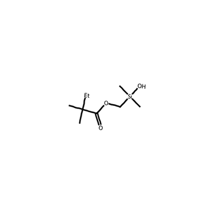 CCC(C)(C)C(=O)OC[Si](C)(C)O